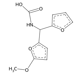 COc1ccc(C(NC(=O)O)c2ccco2)o1